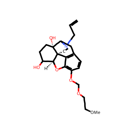 C=CCN1CC[C@]23c4c5ccc(OCOCCOC)c4O[C@H]2C(O)CC[C@@]3(O)C1C5